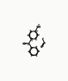 CC=O.O=C(c1ccccc1)c1ccc(O)cc1